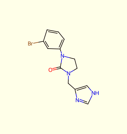 O=C1N(Cc2c[nH]cn2)CCN1c1cccc(Br)c1